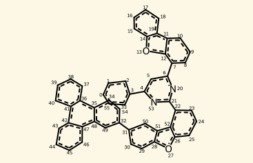 c1ccc(-c2cc(-c3cccc4c3oc3ccccc34)nc(-c3cccc4oc5ccc(-c6ccc7c8ccccc8c8ccccc8c7c6)cc5c34)n2)cc1